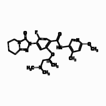 COc1cc(C)c(NC(=O)c2cc(F)c(-n3nc4n(c3=O)CCCC4)cc2O[C@@H](C)CN(C)C)cn1